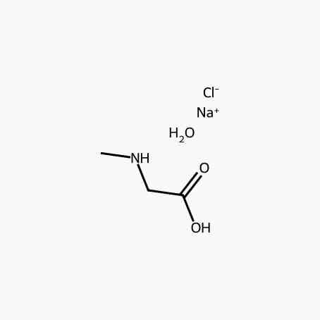 CNCC(=O)O.O.[Cl-].[Na+]